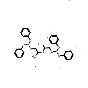 CC(COP(Oc1ccccc1)Oc1ccccc1)OC(C)COP(Oc1ccccc1)Oc1ccccc1